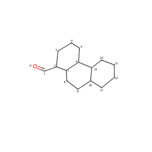 O=CC1CCCC2C1CCC1CCCCC12